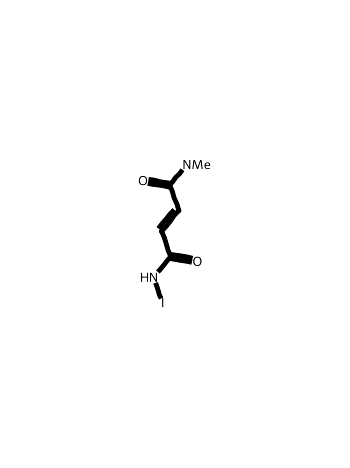 CNC(=O)/C=C/C(=O)NI